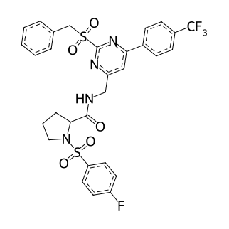 O=C(NCc1cc(-c2ccc(C(F)(F)F)cc2)nc(S(=O)(=O)Cc2ccccc2)n1)C1CCCN1S(=O)(=O)c1ccc(F)cc1